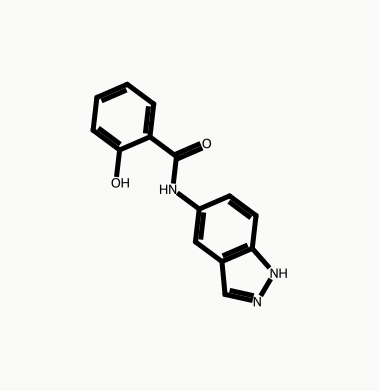 O=C(Nc1ccc2[nH]ncc2c1)c1ccccc1O